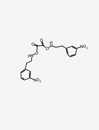 O=C(ONCCc1cccc([N+](=O)[O-])c1)C(=O)ONCCc1cccc([N+](=O)[O-])c1